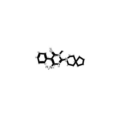 Cn1c(N2CCC3(CCCC3)CC2)nc(N)c(-c2ccccc2)c1=O